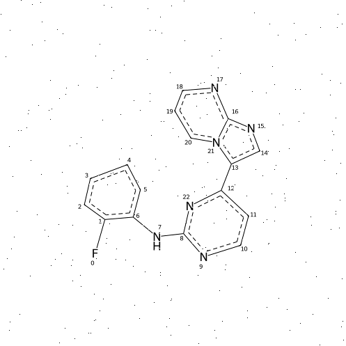 Fc1ccccc1Nc1nccc(-c2cnc3ncccn23)n1